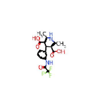 CC1=C(C(=O)O)C(c2cccc(NC(=O)C(F)(F)F)c2)C(C(=O)O)=C(C)N1